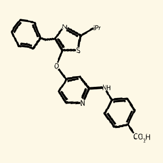 CC(C)c1nc(-c2ccccc2)c(Oc2ccnc(Nc3ccc(C(=O)O)cc3)c2)s1